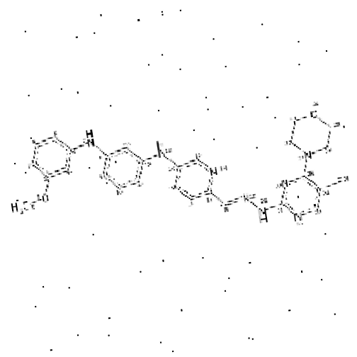 COc1cccc(Nc2cccc(Nc3ccc(/C=N/Nc4ncc(F)c(N5CCOCC5)n4)nc3)c2)c1